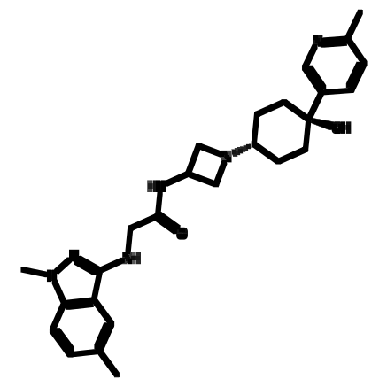 Cc1ccc2c(c1)c(NCC(=O)NC1CN([C@H]3CC[C@@](O)(c4ccc(C)nc4)CC3)C1)nn2C